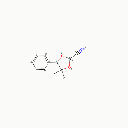 CC1(C)OB(C#N)OC1c1ccccc1